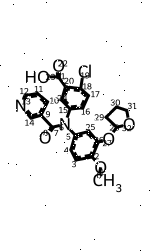 COc1ccc(N(C(=O)c2cccnc2)c2ccc(Cl)c(C(=O)O)c2)cc1OC1CCCO1